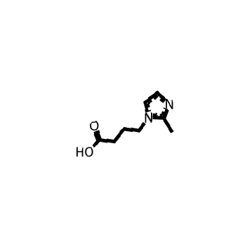 Cc1nccn1CCCC(=O)O